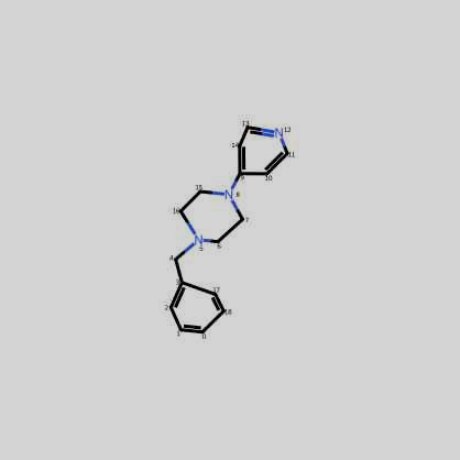 c1ccc(CN2CCN(c3ccncc3)CC2)cc1